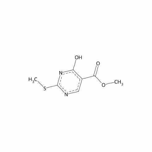 COC(=O)c1cnc(SC)nc1O